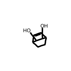 OC1C2C=CC(CC2)C1O